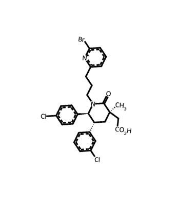 C[C@]1(CC(=O)O)C[C@H](c2cccc(Cl)c2)[C@@H](c2ccc(Cl)cc2)N(CCCc2cccc(Br)n2)C1=O